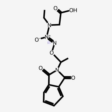 CCN(CC(=O)O)/[N+]([O-])=N/OC(C)N1C(=O)c2ccccc2C1=O